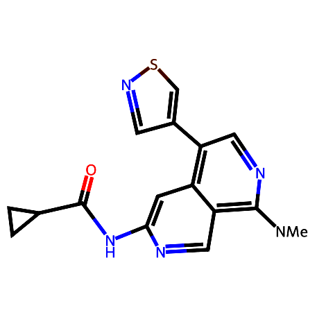 CNc1ncc(-c2cnsc2)c2cc(NC(=O)C3CC3)ncc12